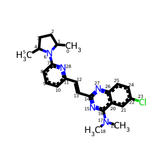 CC1CCC(C)N1c1cccc(C=Cc2nc(N(C)C)c3cc(Cl)ccc3n2)n1